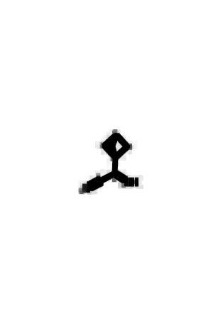 N#CC(=N)C12CC(C1)C2